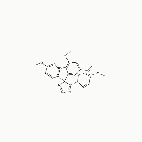 COc1ccc(C2=NC=NC2(c2ccc(OC)cc2)c2cc(OC)cc(OC)c2O)cc1